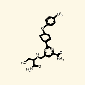 NC(=O)c1cc(CNC(CO)C(N)=O)nc(C2=CCC(Oc3ccc(C(F)(F)F)cc3)CC2)n1